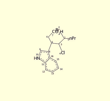 CCCC(Br)C(Cl)C(CC(=O)O)c1c[nH]c2ccccc12